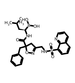 CC(C)C[C@H](NC(=O)C1(Cc2ccccc2)CC(CNS(=O)(=O)c2cccc3cccnc23)=NO1)B(O)O